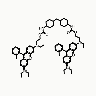 CCN(CCOC(=O)NC1CCC(CC2CCC(NC(=O)OCCN(CC)c3ccc4c(-c5ccccc5C)c5ccc(=[N+](CC)CC)cc-5oc4c3)CC2)CC1)c1ccc2c(-c3ccccc3C)c3ccc(=[N+](CC)CC)cc-3oc2c1